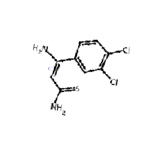 NC(=S)/C=C(/N)c1ccc(Cl)c(Cl)c1